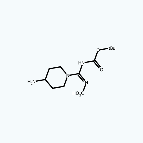 CC(C)(C)OC(=O)N/C(=N/C(=O)O)N1CCC(N)CC1